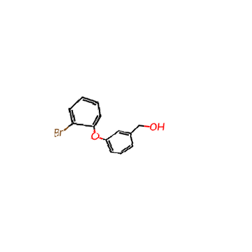 OCc1cccc(Oc2ccccc2Br)c1